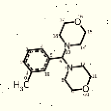 Cc1cccc(C(N2CCOCC2)N2CCOCC2)c1